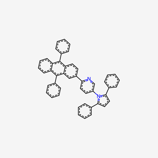 c1ccc(-c2c3ccccc3c(-c3ccccc3)c3cc(-c4ccc(-n5c(-c6ccccc6)ccc5-c5ccccc5)cn4)ccc23)cc1